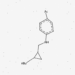 CCCCC1CC1CNc1ccc(C(C)=O)cc1